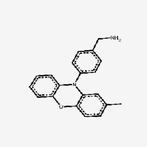 Cc1ccc2c(c1)N(c1ccc(CN)cc1)c1ccccc1O2